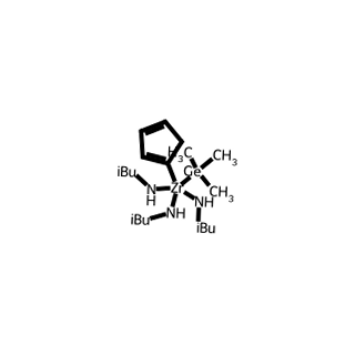 CCC(C)[NH][Zr]([NH]C(C)CC)([NH]C(C)CC)([C]1=CC=CC1)[Ge]([CH3])([CH3])[CH3]